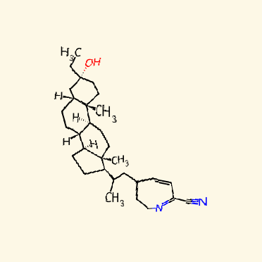 CC[C@@]1(O)CC[C@@]2(C)[C@H](CC[C@@H]3[C@@H]2CC[C@]2(C)[C@@H](C(C)CC4C=CC(C#N)=NCC4)CC[C@@H]32)C1